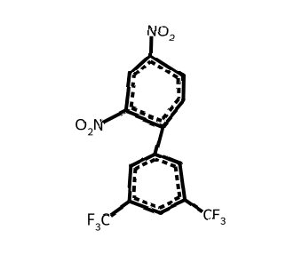 O=[N+]([O-])c1ccc(-c2cc(C(F)(F)F)cc(C(F)(F)F)c2)c([N+](=O)[O-])c1